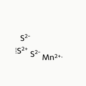 [Mn+2].[S+2].[S-2].[S-2]